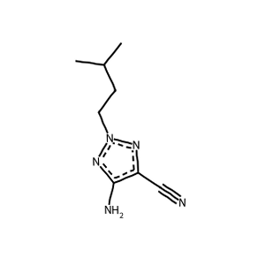 CC(C)CCn1nc(N)c(C#N)n1